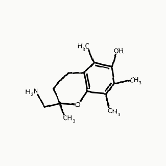 Cc1c(C)c2c(c(C)c1O)CCC(C)(CN)O2